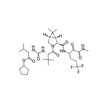 CNC(=O)C(=O)C(CCC(F)(F)F)NC(=O)[C@@H]1[C@@H]2[C@H](CN1C(=O)[C@@H](NC(=O)N[C@H](C(=O)OC1CCCC1)C(C)C)C(C)(C)C)C2(C)C